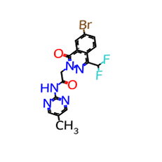 Cc1cnc(NC(=O)Cn2nc(C(F)F)c3ccc(Br)cc3c2=O)nc1